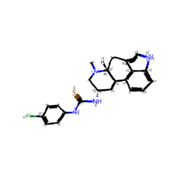 CN1C[C@@H](NC(=S)Nc2ccc(F)cc2)CC2c3cccc4[nH]cc(c34)C[C@H]21